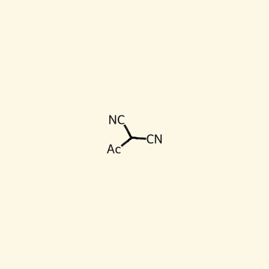 CC(=O)C(C#N)C#N